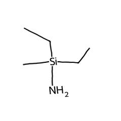 CC[Si](C)(N)CC